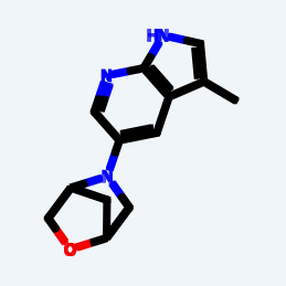 Cc1c[nH]c2ncc(N3CC4CC3CO4)cc12